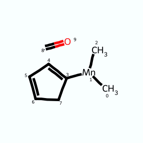 [CH3][Mn]([CH3])[C]1=CC=CC1.[C]=O